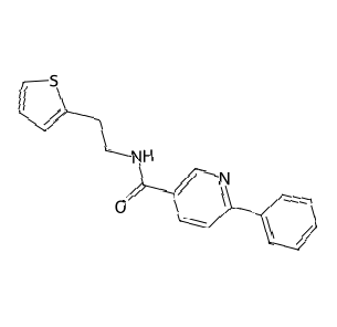 O=C(NCCc1cccs1)c1ccc(-c2ccccc2)nc1